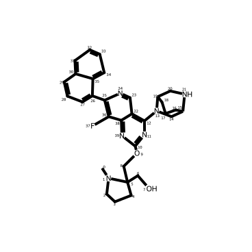 CN1CCCC1(CO)COc1nc(N2CC3CCCC2CN3)c2cnc(-c3cccc4ccccc34)c(F)c2n1